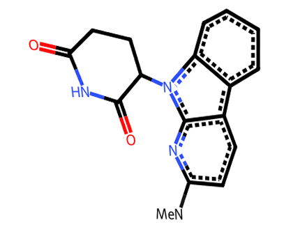 CNc1ccc2c3ccccc3n(C3CCC(=O)NC3=O)c2n1